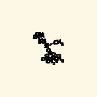 CCCCCc1cc(-c2cc3sc(/C=C(\C#N)C(=O)O)cc3s2)sc1-c1ccc(N(c2ccc(-c3ccccc3CC)c(CC)c2)c2ccc3c(c2)C(C)(C)c2ccccc2-3)cc1